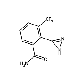 NC(=O)c1cccc(C(F)(F)F)c1C1=NN1